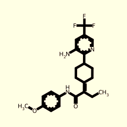 CCC(C(=O)Nc1ccc(OC)cc1)=C1CCC(c2ncc(C(F)(F)F)cc2N)CC1